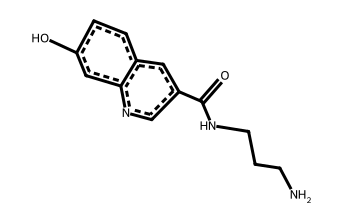 NCCCNC(=O)c1cnc2cc(O)ccc2c1